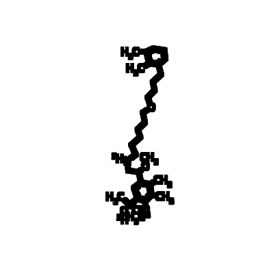 [2H]OC(C)(C)c1cc(C(CN([2H])CCCCCCOCCCCc2cccc(C)c2C)OC)c(C)c(C)c1OC